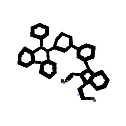 C=Cc1c(/C=C\C)c2ccccc2n1-c1cccc(C2=CCCC(N3B(c4ccccc4)c4ccccc4-c4ccccc43)=C2)c1